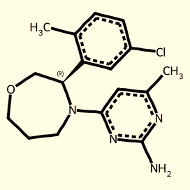 Cc1cc(N2CCCOC[C@H]2c2cc(Cl)ccc2C)nc(N)n1